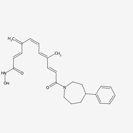 C=C(\C=C/C=C(C)/C=C/C(=O)N1CCCC(c2ccccc2)CC1)/C=C/C(=O)NO